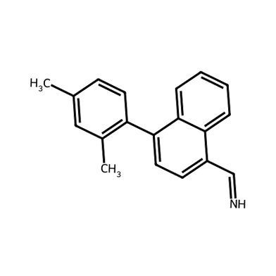 Cc1ccc(-c2ccc(C=N)c3ccccc23)c(C)c1